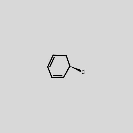 Cl[C@H]1C=CC=CC1